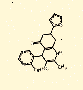 CC1=C(C#N)C(c2ccccc2O)C2=C(CC(c3cccs3)CC2=O)N1